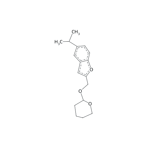 CC(C)c1ccc2oc(COC3CCCCO3)cc2c1